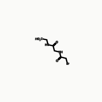 O=C(O)CNC(=O)CNC(=O)CBr